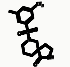 Cc1cc(C(F)(F)F)cc(S(=O)(=O)N2CCCC3(CCNC3=O)C2)c1